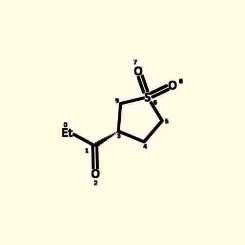 CCC(=O)[C@H]1CCS(=O)(=O)C1